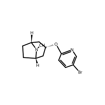 CN1[C@@H]2CC[C@H]1C[C@@H](Oc1ccc(Br)cn1)C2